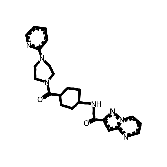 O=C(NC1CCC(C(=O)N2CCN(c3ccccn3)CC2)CC1)c1cc2ncccn2n1